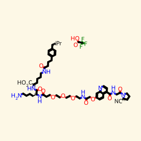 CC(C)Cc1ccc(CCCC(=O)NCCCC[C@H](NC(=O)[C@H](CCCCN)NC(=O)CCOCCOCCOCCNC(=O)COc2ccc3c(C(=O)NCC(=O)N4CCC[C@H]4C#N)ccnc3c2)C(=O)O)cc1.O=C(O)C(F)(F)F